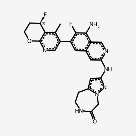 Cc1c(-c2cc3cc(Nc4cc5n(n4)CC(=O)NCC5)ncc3c(N)c2F)cnc2c1[C@H](F)CCO2